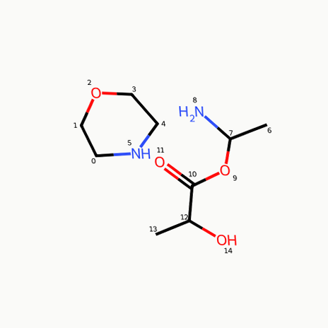 C1COCCN1.CC(N)OC(=O)C(C)O